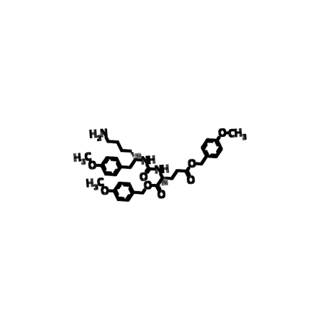 COc1ccc(COC(=O)CC[C@H](NC(=O)N[C@@H](CCCCN)Cc2ccc(OC)cc2)C(=O)OCc2ccc(OC)cc2)cc1